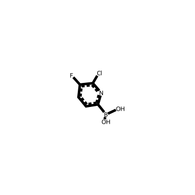 OB(O)c1ccc(F)c(Cl)n1